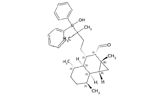 C[C@H]1CC[C@H](C)[C@H]2[C@@H]1[C@H](CCC(C)(C)[Si](O)(c1ccccc1)c1ccccc1)[C@H](C=O)[C@]1(C)C[C@H]21